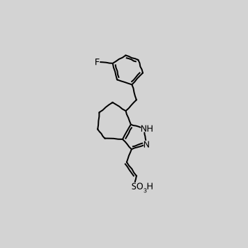 O=S(=O)(O)C=Cc1n[nH]c2c1CCCCC2Cc1cccc(F)c1